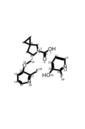 O=C(O)N1CC2(CC2)C[C@H]1COc1cccnc1F.Oc1cccnc1F